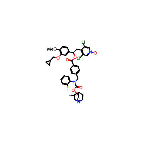 COc1ccc([C@@H](Cc2c(Cl)c[n+]([O-])cc2Cl)OC(=O)c2ccc(CN(C(=O)O[C@H]3CN4CCC3CC4)c3ccccc3F)cc2)cc1OCC1CC1